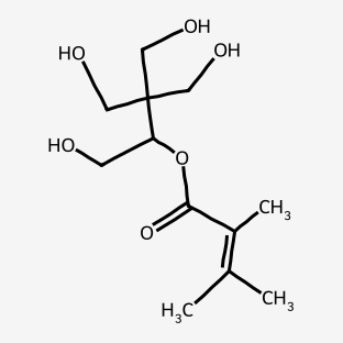 CC(C)=C(C)C(=O)OC(CO)C(CO)(CO)CO